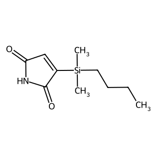 CCCC[Si](C)(C)C1=CC(=O)NC1=O